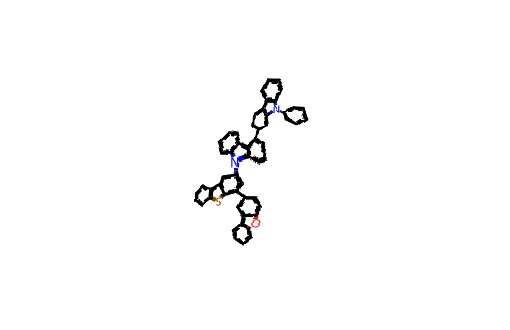 C1=c2c(n(-c3ccccc3)c3ccccc23)=CC(c2cccc3c2c2ccccc2n3-c2cc(-c3ccc4oc5ccccc5c4c3)c3sc4ccccc4c3c2)C1